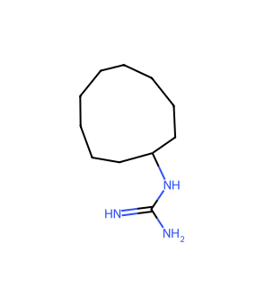 N=C(N)NC1CCCCCCCCC1